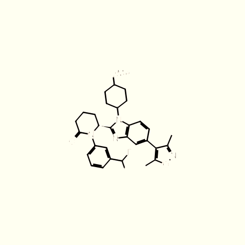 COC1CCC(n2c([C@@H]3CCCC(=O)N3c3cccc(C(F)F)c3)nc3cc(-c4c(C)noc4C)ccc32)CC1